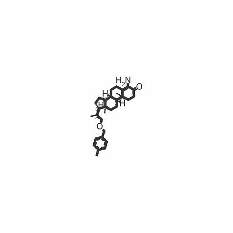 Cc1ccc(COC[C@@H](C)[C@H]2CC[C@H]3[C@@H]4CCC5=C(N)C(=O)CC[C@]5(C)[C@H]4CC[C@]23C)cc1